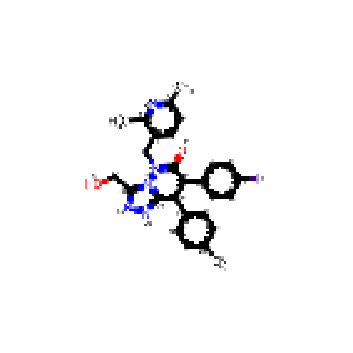 Cc1nc(C(F)(F)F)ccc1Cn1c(=O)c(-c2ccc(I)cc2)c(-c2ccc(C#N)cc2)c2nnc(CO)n21